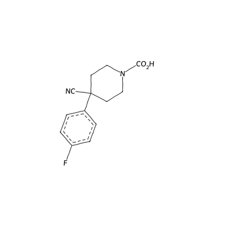 N#CC1(c2ccc(F)cc2)CCN(C(=O)O)CC1